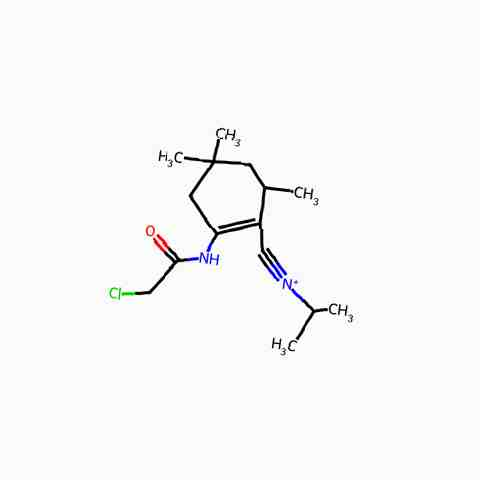 CC(C)[N+]#CC1=C(NC(=O)CCl)CC(C)(C)CC1C